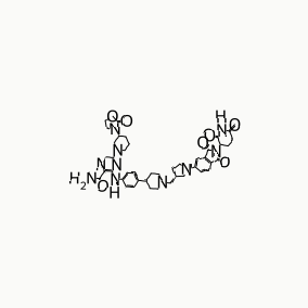 NC(=O)c1ncc(N2CCC[C@@H](N3CCOC3=O)C2)nc1Nc1ccc(C2CCN(C[C@H]3CCN(c4ccc5c(c4)C(=O)N(C4CCC(=O)NC4=O)C5=O)C3)CC2)cc1